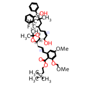 COCOc1cc(OC)cc(/C=C/C[C@@H]2OC(C)(C)O[C@@H]2C(O)/C=C\CC(CC(C)(C)[Si](O)(c2ccccc2)c2ccccc2)C(F)(F)F)c1C(=O)OCC[Si](C)(C)C